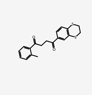 Cc1ccccc1C(=O)CCC(=O)c1ccc2c(c1)SCCS2